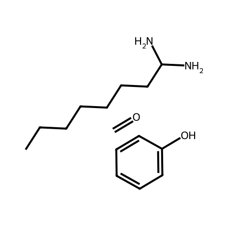 C=O.CCCCCCCC(N)N.Oc1ccccc1